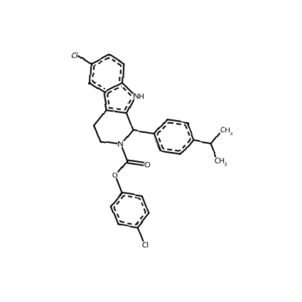 CC(C)c1ccc(C2c3[nH]c4ccc(Cl)cc4c3CCN2C(=O)Oc2ccc(Cl)cc2)cc1